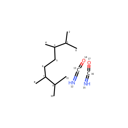 CC(C)C(C)CCC(C)C(C)C.N=C=O.N=C=O